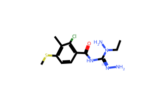 CCN(N)/C(=N\N)NC(=O)c1ccc(SC)c(C)c1Cl